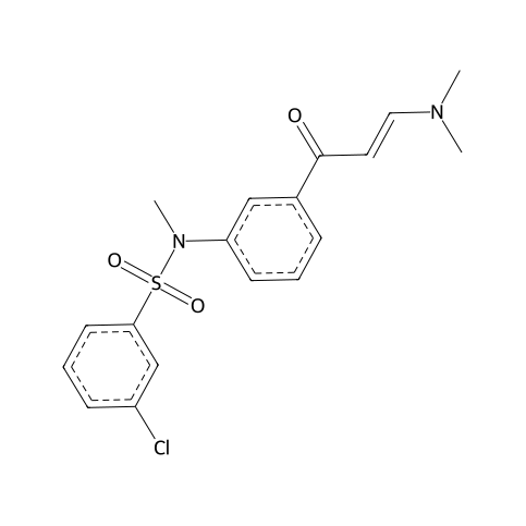 CN(C)/C=C/C(=O)c1cccc(N(C)S(=O)(=O)c2cccc(Cl)c2)c1